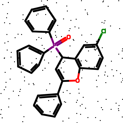 O=P(c1ccccc1)(c1ccccc1)C1C=C(c2ccccc2)Oc2ccc(Cl)cc21